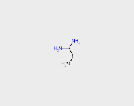 NC(N)C[SiH3]